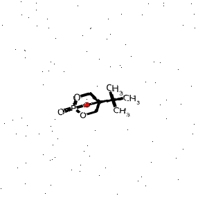 CC(C)(C)C12COP(=O)(OC1)OC2